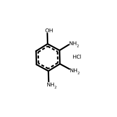 Cl.Nc1ccc(O)c(N)c1N